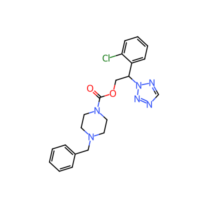 O=C(OCC(c1ccccc1Cl)n1ncnn1)N1CCN(Cc2ccccc2)CC1